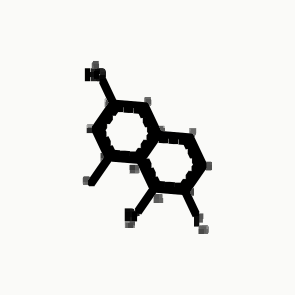 Cc1cc(O)cc2ccc(F)c(Br)c12